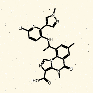 Cc1cc(C(C)Nc2ccc(Cl)nc2-c2cnn(C)c2)c2c(c1)c(=O)n(C)c1c(C(=O)O)ncn21